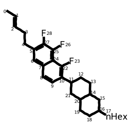 C/C=C/CCc1cc2ccc(C3CCC4CC(CCCCCC)CCC4C3)c(F)c2c(F)c1F